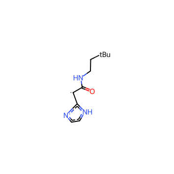 CC(C)(C)CCNC(=O)[CH]c1ncc[nH]1